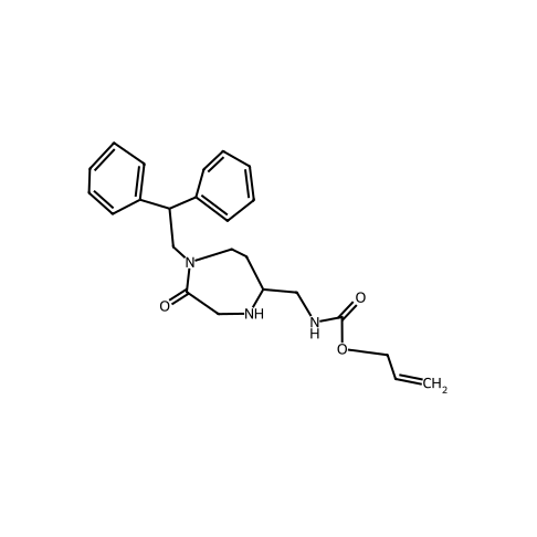 C=CCOC(=O)NCC1CCN(CC(c2ccccc2)c2ccccc2)C(=O)CN1